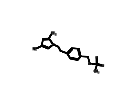 Cc1cc(C#N)cn1CCc1ccc(COS(C)(=O)=O)cc1